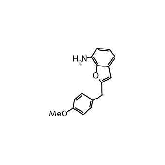 COc1ccc(Cc2cc3cccc(N)c3o2)cc1